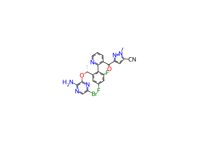 C[C@@H](Oc1nc(Br)cnc1N)c1cc(F)cc(F)c1-c1ncccc1C(=O)c1cc(C#N)n(C)n1